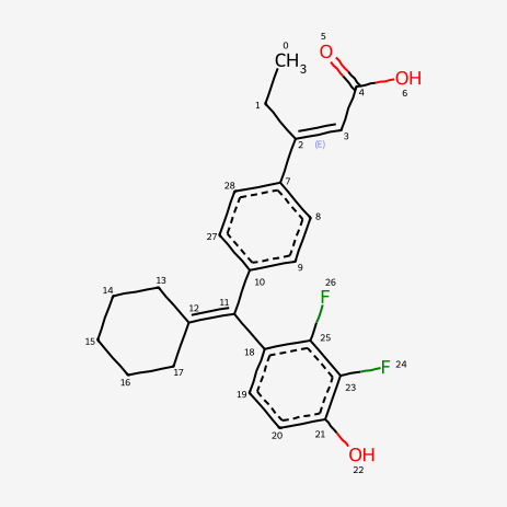 CC/C(=C\C(=O)O)c1ccc(C(=C2CCCCC2)c2ccc(O)c(F)c2F)cc1